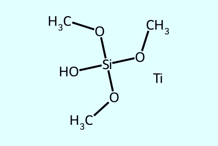 CO[Si](O)(OC)OC.[Ti]